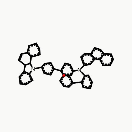 C1=CC2c3ccccc3N(c3ccc(-c4ccc(N(c5ccc6ccc7ccccc7c6c5)c5ccccc5-c5ccccc5)cc4)cc3)C2c2ccccc21